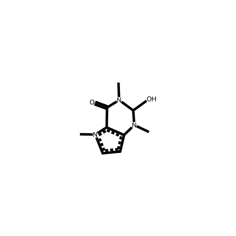 CN1C(=O)c2c(ccn2C)N(C)C1O